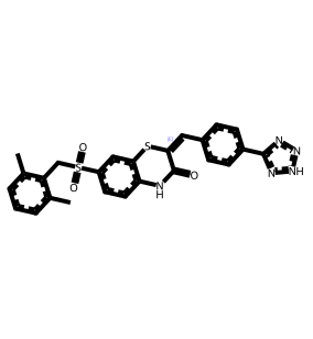 Cc1cccc(C)c1CS(=O)(=O)c1ccc2c(c1)S/C(=C/c1ccc(-c3nn[nH]n3)cc1)C(=O)N2